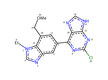 CCn1cnc2cc(-c3nc(Cl)nc4[nH]cnc34)cc(COC)c21